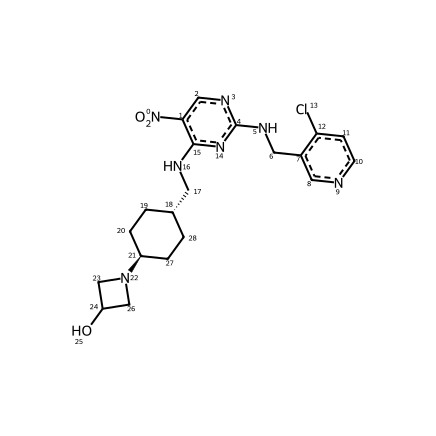 O=[N+]([O-])c1cnc(NCc2cnccc2Cl)nc1NC[C@H]1CC[C@H](N2CC(O)C2)CC1